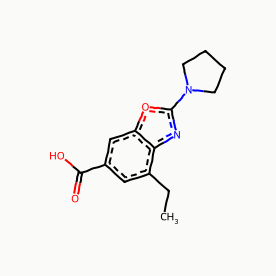 CCc1cc(C(=O)O)cc2oc(N3CCCC3)nc12